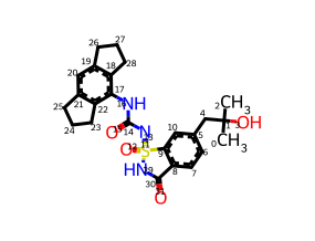 CC(C)(O)Cc1ccc2c(c1)S(=O)(=NC(=O)Nc1c3c(cc4c1CCC4)CCC3)NC2=O